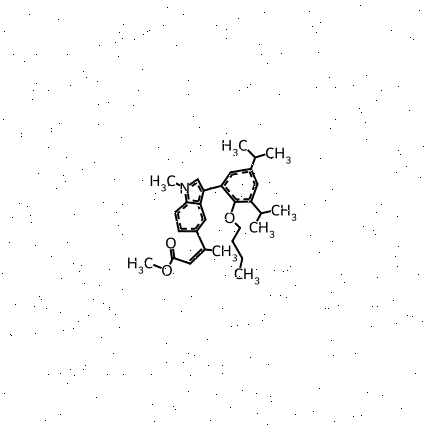 CCCCOc1c(-c2cn(C)c3ccc(/C(C)=C\C(=O)OC)cc23)cc(C(C)C)cc1C(C)C